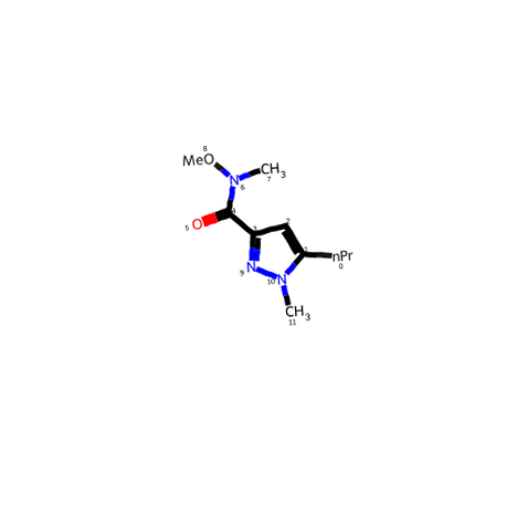 CCCc1cc(C(=O)N(C)OC)nn1C